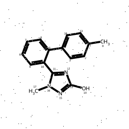 Cc1ccc(-c2ccccc2-c2nc(O)nn2C)cc1